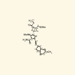 C=CC(=O)N1C[C@@H](n2nc(C#Cc3ccc4ncc(C)nc4c3)c(C(N)=O)c2NC)C[C@@H]1COC